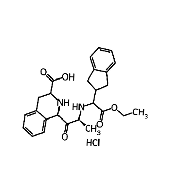 CCOC(=O)C(N[C@@H](C)C(=O)C1NC(C(=O)O)Cc2ccccc21)C1Cc2ccccc2C1.Cl